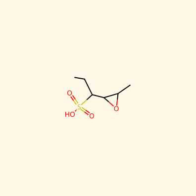 CCC(C1OC1C)S(=O)(=O)O